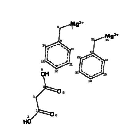 O=C(O)CC(=O)O.[Mg+2][CH2]c1ccccc1.[Mg+2][CH2]c1ccccc1